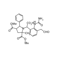 COC(=O)C1CC(C)(C(=O)OC(C)(C)C)N(C(C(=O)O)c2cccc(CC=O)c2NC(N)=O)C1c1ccccc1